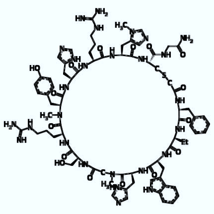 CC[C@@H]1NC(=O)[C@H](Cc2ccccc2)NC(=O)CSC[C@@H](C(=O)NCC(N)=O)NC(=O)[C@H](Cc2cncn2C)NC(=O)[C@H](CCCNC(=N)N)NC(=O)[C@H](Cc2cnc[nH]2)NC(=O)[C@H](Cc2ccc(O)cc2)N(C)C(=O)[C@H](CCCNC(=N)N)NC(=O)[C@H](CO)NC(=O)CN(C)C(=O)[C@H](Cc2cnc[nH]2)NC(=O)[C@H](Cc2c[nH]c3ccccc23)NC1=O